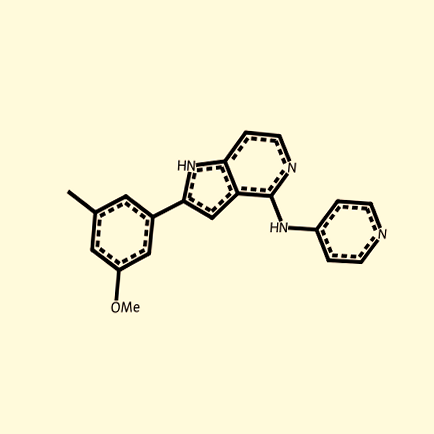 COc1cc(C)cc(-c2cc3c(Nc4ccncc4)nccc3[nH]2)c1